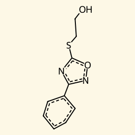 OCCSc1nc(-c2ccccc2)no1